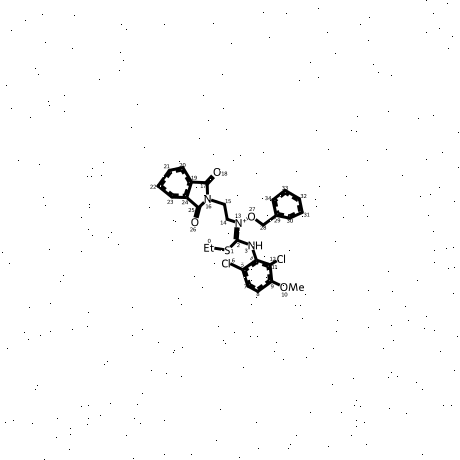 CCSC(Nc1c(Cl)ccc(OC)c1Cl)=[N+](CCN1C(=O)c2ccccc2C1=O)OCc1ccccc1